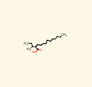 CCCCCCCCCCCC(C(=O)O)C(C)CC